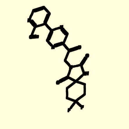 COc1ncccc1-c1cnc(C(=O)CN2C(=O)NC3(CCC(F)(F)CC3)C2=O)cn1